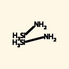 N[SiH3].N[SiH3]